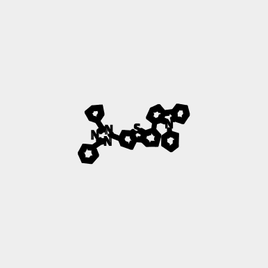 c1ccc(-c2nc(-c3ccccc3)nc(-c3ccc4c(c3)sc3c(-c5cccc6c7ccccc7n(-c7ccccc7)c56)cccc34)n2)cc1